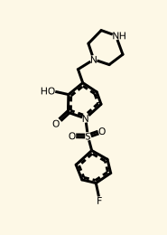 O=c1c(O)c(CN2CCNCC2)ccn1S(=O)(=O)c1ccc(F)cc1